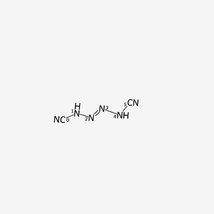 N#CNN=NNC#N